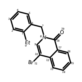 CCc1ccccc1Cn1cc(Br)c2ccccc2c1=O